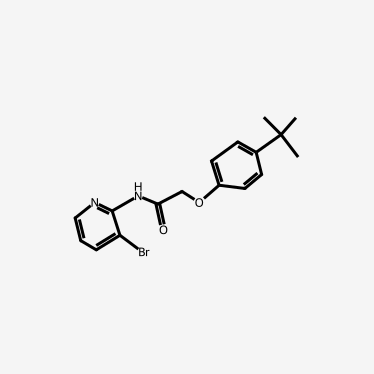 CC(C)(C)c1ccc(OCC(=O)Nc2ncccc2Br)cc1